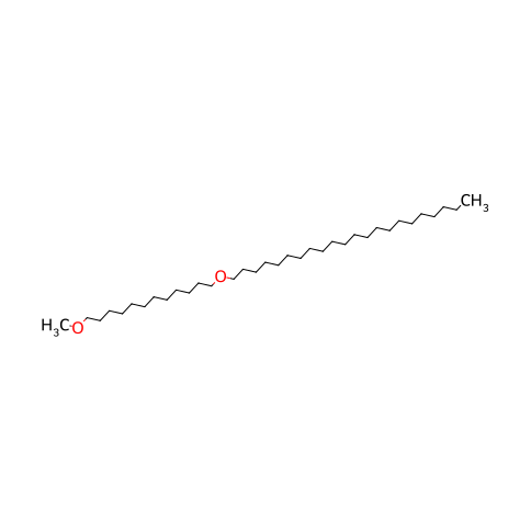 CCCCCCCCCCCCCCCCCCCCCCOCCCCCCCCCCCCOC